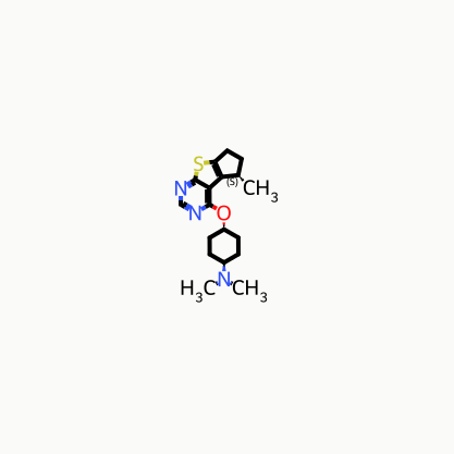 C[C@H]1CCc2sc3ncnc(O[C@H]4CC[C@H](N(C)C)CC4)c3c21